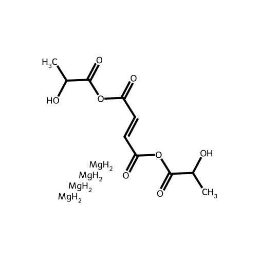 CC(O)C(=O)OC(=O)/C=C/C(=O)OC(=O)C(C)O.[MgH2].[MgH2].[MgH2].[MgH2]